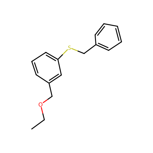 CCOCc1cccc(SCc2ccccc2)c1